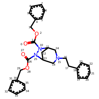 O=C(OCc1ccccc1)N1C2CC(CN(CCc3ccccc3)C2)N1C(=O)OCc1ccccc1